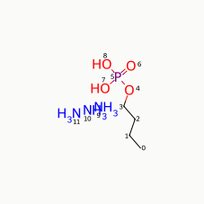 CCCCOP(=O)(O)O.N.N.N